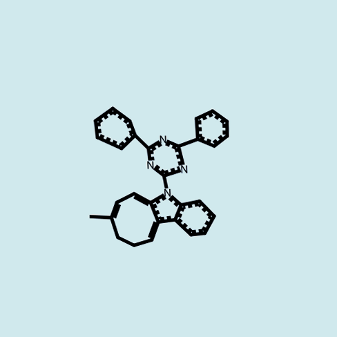 C/C1=C/C=c2\c(c3ccccc3n2-c2nc(-c3ccccc3)nc(-c3ccccc3)n2)=CCC1